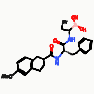 COc1ccc2c(c1)CCC(C(=O)N[C@@H](Cc1ccccc1)C(=O)NC(CC(C)C)B(O)O)C2